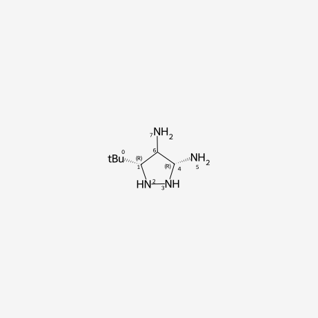 CC(C)(C)[C@H]1NN[C@@H](N)C1N